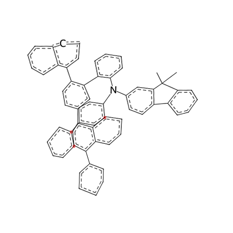 CC1(C)c2ccccc2-c2ccc(N(c3ccc(-c4ccccc4)cc3)c3ccccc3-c3cc(-c4ccc(-c5ccccc5)c5ccccc45)ccc3-c3cccc4ccccc34)cc21